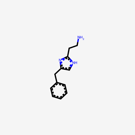 NCCc1nc(Cc2ccccc2)c[nH]1